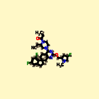 C=CC(=O)N1CCN(c2nc(OCC3CC(F)CN3C)nc3c2CCC2(CCc4cc(F)cc(F)c42)C3)CC1CC#N